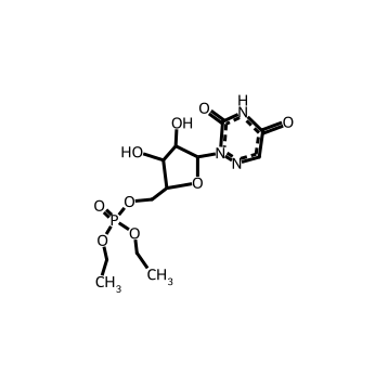 CCOP(=O)(OCC)OCC1OC(n2ncc(=O)[nH]c2=O)C(O)C1O